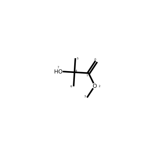 C=C(OC)C(C)(C)O